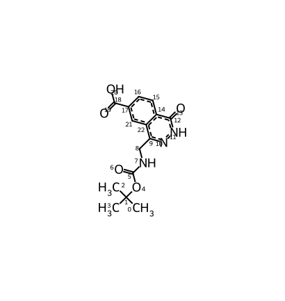 CC(C)(C)OC(=O)NCc1n[nH]c(=O)c2ccc(C(=O)O)cc12